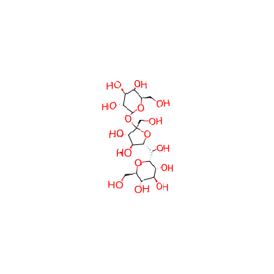 OC[C@H]1OC(O[C@]2(CO)O[C@H](C(O)[C@H]3O[C@H](CO)[C@@H](O)[C@H](O)[C@H]3O)[C@@H](O)[C@@H]2O)[C@H](O)[C@@H](O)[C@H]1O